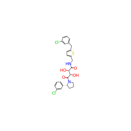 O=C(NCc1ccc(Cc2cccc(Cl)c2)s1)[C@H](O)[C@@H](O)C(=O)N1CCC[C@@H]1c1cccc(Cl)c1